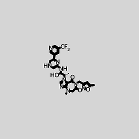 Cc1cc(CN2C(=O)CN(C)c3ncn([C@@H](C)C(O)NC4=CNCC(c5cncc(C(F)(F)F)c5)=N4)c3C2=O)no1